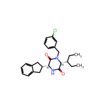 CCC(CC)[C@@H]1C(=O)N[C@H](C2Cc3ccccc3C2)C(=O)N1Cc1cccc(Cl)c1